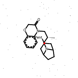 CCCCCC1CC2CCC(C1)N2C[C@@H](C)CN1C(=O)COc2ccccc21